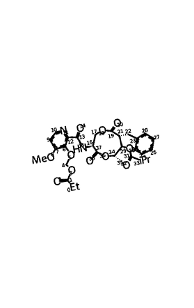 CCC(=O)OCOc1c(OC)ccnc1C(=O)N[C@H]1COC(=O)[C@H](Cc2ccccc2)[C@@H](OC(=O)C(C)C)[C@H](C)OC1=O